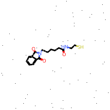 O=C(CCCCCN1C(=O)c2ccccc2C1=O)NCCS